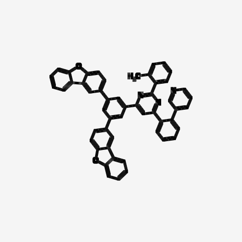 Cc1ccccc1-c1nc(-c2cc(-c3ccc4oc5ccccc5c4c3)cc(-c3ccc4oc5ccccc5c4c3)c2)cc(-c2ccccc2-c2cccnc2)n1